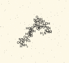 COC[C@@H]1[C@@H](COP(=O)(O)OP(=O)(O)OP(=O)(O)OC[C@H]2O[C@@H](n3cnc4c(=O)[nH]c(N)nc43)[C@H](OC)[C@@H]2OP(=O)(O)OC[C@H]2O[C@@H](n3cnc4c(=O)[nH]c(N)nc43)[C@H](O)[C@@H]2O)OC(n2c[n+](C)c3c(=O)[nH]c(N)nc32)C1(F)F